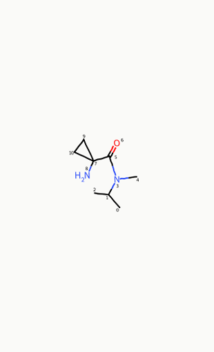 CC(C)N(C)C(=O)C1(N)CC1